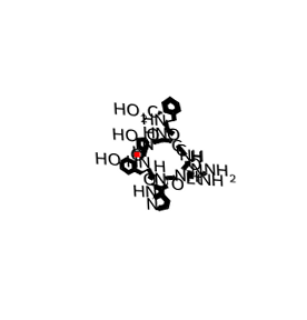 CCC(NC(=N)N)[C@@H]1NC(=O)[C@H](Cc2c[nH]c3ncccc23)NC(=O)[C@@H](CC2CCC(O)CC2)NC(=O)[C@@H]2C[C@@H](O)CN2C(=O)[C@@H](NC(=O)[C@H](Cc2ccccc2)NCC(=O)O)CCCNC1=O